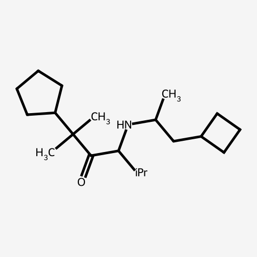 CC(CC1CCC1)NC(C(=O)C(C)(C)C1CCCC1)C(C)C